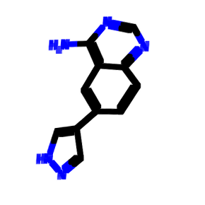 Nc1ncnc2ccc(-c3cn[nH]c3)cc12